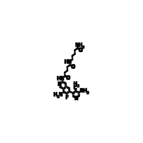 Cc1c(N)cncc1-c1cc2cc(NC(=O)CCCC(=O)NCCCCC(N)=O)ncc2c(N)c1F